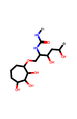 CCNC(=O)NC(COC1CCCC(O)C(O)C1O)C(O)CC(O)CC